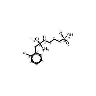 CC(C)(Cc1ccccc1I)NCCCS(=O)(=O)O